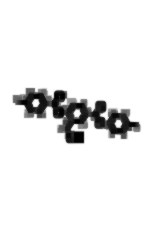 Cc1ccc(OC(=O)c2ccc(OC(=O)c3ccc(C)cc3)c(CO)c2)cc1